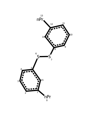 CCCc1cccc(SSc2cccc(CCC)c2)c1